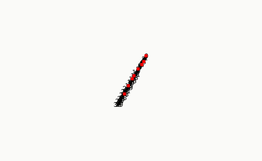 CCCCCCCCC=CCCCCC=CCCCCCC=CCCCCCCCC